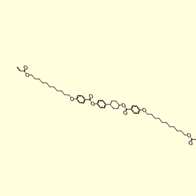 C=CC(=O)OCCCCCCCCCCCOc1ccc(C(=O)Oc2ccc(C3CCC(OC(=O)c4ccc(OCCCCCCCCCCCOC(=O)C=C)cc4)CC3)cc2)cc1